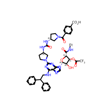 CCNC(=O)[C@H]1O[C@@H](n2cnc3c(NCC(c4ccccc4)c4ccccc4)nc(N4CC[C@@H](NC(=O)N[C@@H]5CCN(C(=O)c6ccc(C(=O)O)cc6)C5)C4)nc32)[C@H](O)[C@@H]1OC(=O)C(F)(F)F